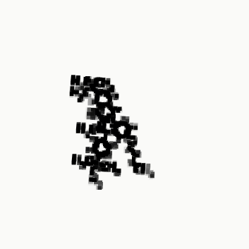 CCCCOc1ccc(N(Cc2ccc(C(C)(C)C)cc2)C(=N)N(C)Cc2ccc(C(C)(C)C)cc2)cc1